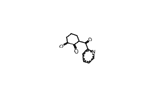 O=C1CCCC(C(=O)c2ccccn2)C1=O